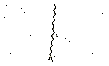 CCCCCCCCCCCCCCCCC[N+](C)(C)C.[Cl-]